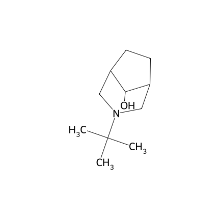 CC(C)(C)N1CC2CCC(C1)C2O